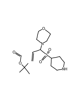 C=CC(N1CCOCC1)S(=O)(=O)C1CCNCC1.CC(C)(C)OC=O